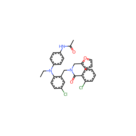 CCN(c1ccc(NC(C)=O)cc1)c1ccc(Cl)cc1CN(Cc1ccco1)C(=O)c1ccccc1Cl